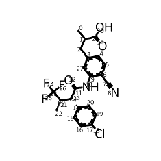 CC(Cc1ccc(C#N)c(NC(=O)[C@H](c2ccc(Cl)cc2)[C@@H](C)C(F)(F)F)c1)C(=O)O